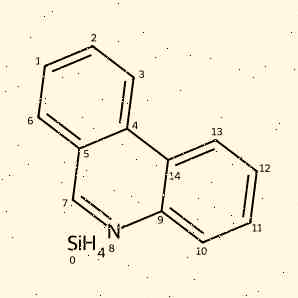 [SiH4].c1ccc2c(c1)cnc1ccccc12